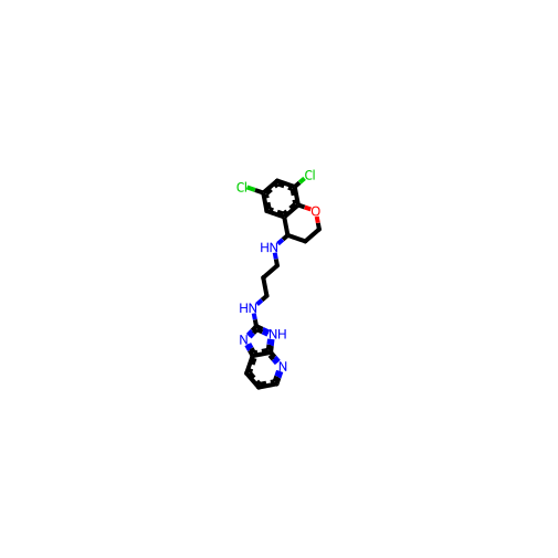 Clc1cc(Cl)c2c(c1)C(NCCCNc1nc3cccnc3[nH]1)CCO2